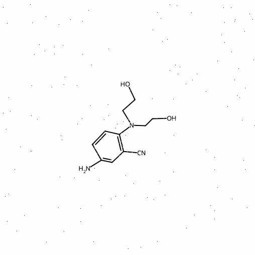 N#Cc1cc(N)ccc1N(CCO)CCO